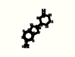 CCc1ccc2c(c1)CN(C1CCCNC1)C2